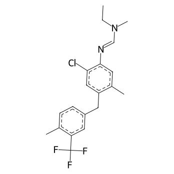 CCN(C)C=Nc1cc(C)c(Cc2ccc(C)c(C(F)(F)F)c2)cc1Cl